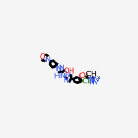 CC(Cn1cnnn1)Oc1cc(-c2cnc(Nc3cn(C4CCC(N5CCOCC5)CC4)nc3O)nc2)ccc1Cl